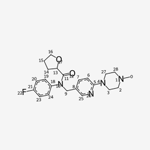 CN1CCN(c2ccc(CN(C(=O)C3CCCO3)c3ccc(F)cc3)cn2)CC1